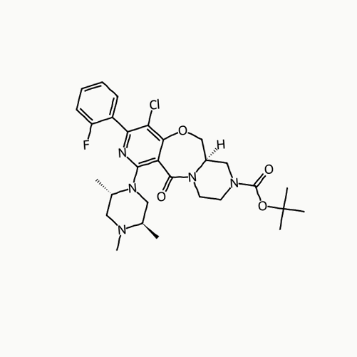 C[C@@H]1CN(c2nc(-c3ccccc3F)c(Cl)c3c2C(=O)N2CCN(C(=O)OC(C)(C)C)C[C@@H]2CO3)[C@@H](C)CN1C